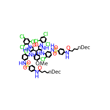 CCCCCCCCCCCCCC(=O)Nc1ccc(S(=O)(=O)Nc2ccc(Cl)c(Nc3[nH]n(-c4c(Cl)cc(Cl)cc4Cl)c(=O)c3C(c3ccc(OC)cc3)c3c(Nc4cc(NS(=O)(=O)c5ccc(NC(=O)CCCCCCCCCCCCC)cc5)ccc4Cl)[nH]n(-c4c(Cl)cc(Cl)cc4Cl)c3=O)c2)cc1